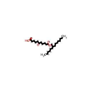 CCCCCCCCC(CCCCCC)COC(=O)CCCCC(=O)CCCCC(=O)O